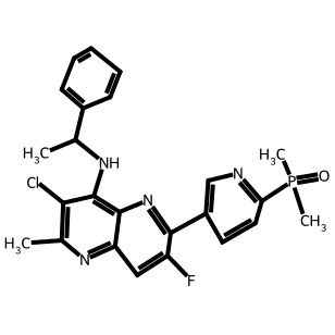 Cc1nc2cc(F)c(-c3ccc(P(C)(C)=O)nc3)nc2c(NC(C)c2ccccc2)c1Cl